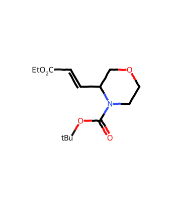 CCOC(=O)C=CC1COCCN1C(=O)OC(C)(C)C